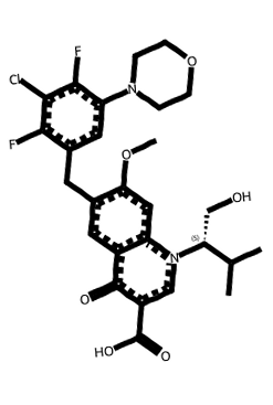 COc1cc2c(cc1Cc1cc(N3CCOCC3)c(F)c(Cl)c1F)c(=O)c(C(=O)O)cn2[C@H](CO)C(C)C